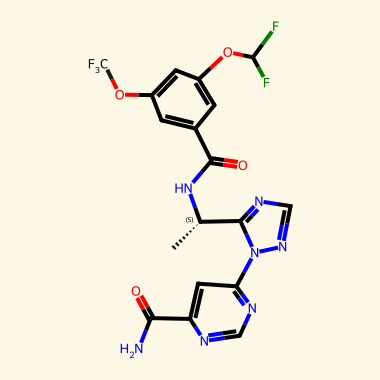 C[C@H](NC(=O)c1cc(OC(F)F)cc(OC(F)(F)F)c1)c1ncnn1-c1cc(C(N)=O)ncn1